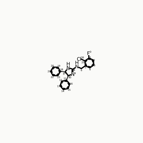 Fc1cccc(CNC2=N[C@@H](c3ccccc3)[C@@H](c3ccccc3)N2)c1Cl